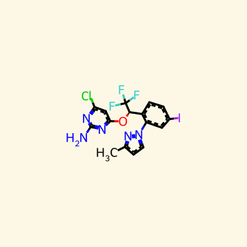 Cc1ccn(-c2cc(I)ccc2[C@@H](Oc2cc(Cl)nc(N)n2)C(F)(F)F)n1